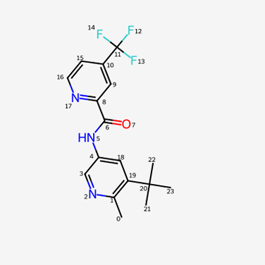 Cc1ncc(NC(=O)c2cc(C(F)(F)F)ccn2)cc1C(C)(C)C